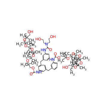 C[Si](C)(CO)O[Si](C)(C)O[Si](C)(C)O[Si](C)(C)O[Si](C)(C)O[Si](C)(C)COC(=O)Nc1cccc(Cc2cc(Cc3cccc(NC(=O)N(CCO)CCO)c3)cc(NC(=O)OC[Si](C)(C)O[Si](C)(C)O[Si](C)(C)O[Si](C)(C)O[Si](C)(C)O[Si](C)(C)CO)c2)c1